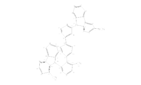 N#Cc1ccc2c(c1)c1ccccc1n2-c1cccc(-c2ccc(-c3c(C#N)cccc3-n3c4ccccc4c4cccc(C#N)c43)cc2)c1